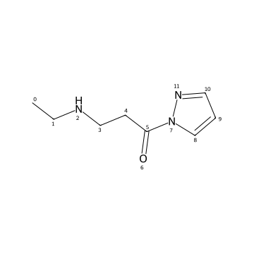 CCNCCC(=O)n1cccn1